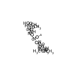 COC(=O)N[C@H](C(=O)N1CCC[C@H]1c1nc2cc([C@@H]3CC[C@@H](c4ccc5[nH]c([C@@H]6CCCN6C(=O)[C@@H](NC(=O)O)[C@@H](C)OC)nc5c4)N3c3ccc(C4CC4)cc3)ccc2[nH]1)C(C)OC